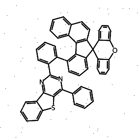 c1ccc(-c2nc(-c3ccccc3-c3cccc4c3-c3c(ccc5ccccc35)C43c4ccccc4Oc4ccccc43)nc3c2sc2ccccc23)cc1